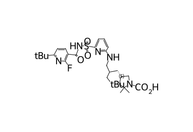 CC(C)(C)CC(CNc1cccc(S(=O)(=O)NC(=O)c2ccc(C(C)(C)C)nc2F)n1)C[C@@H]1CN(C(=O)O)C(C)(C)C1